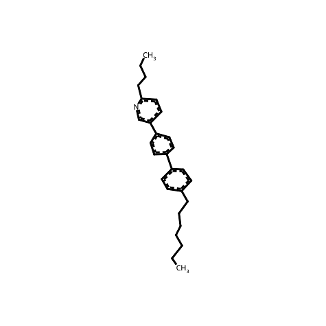 CCCCCCCc1ccc(-c2ccc(-c3ccc(CCCC)nc3)cc2)cc1